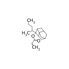 C=CC(=O)OC1(C(C)CCC)C2CC3CC(C2)CC1C3